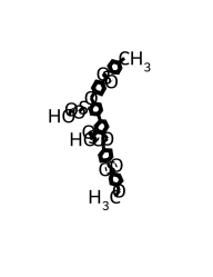 COc1ccc(S(=O)(=O)c2ccc(COc3ccc(-c4ccc(Oc5ccc(S(=O)(=O)c6ccc(C)cc6)cc5)c(SOOO)c4)cc3S(=O)(=O)O)cc2)cc1